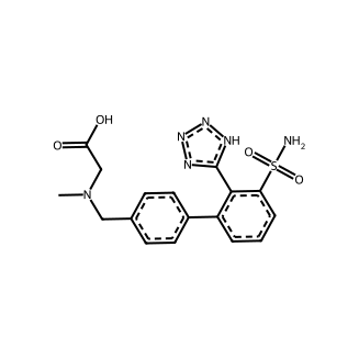 CN(CC(=O)O)Cc1ccc(-c2cccc(S(N)(=O)=O)c2-c2nnn[nH]2)cc1